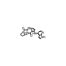 CC(C)(C)OC(=O)N1CCCC1CNC(=O)c1sccc1Nc1ccnc2[nH]ccc12